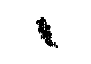 CN1CC[C@@H](Nc2cccc3c([C@@H]4CO4)c(-c4noc(CNC(=O)C5CC5)n4)nn23)[C@@H](F)C1